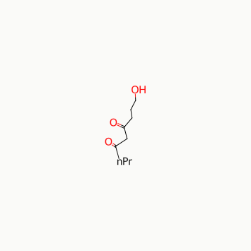 CCCC(=O)CC(=O)CCCO